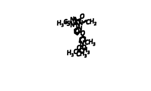 C=CCn1c(=O)c2cnc(SC)nc2n1-c1cccc(OC2CCN(C(=O)OC(C)(C)C)C(C)C2)n1